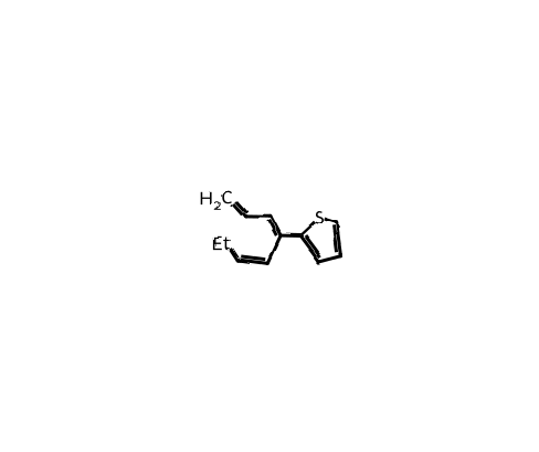 C=C/C=C(\C=C/CC)c1cccs1